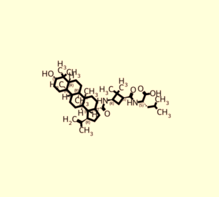 C=C(C)[C@@H]1CC[C@]2(C(=O)N[C@@H]3C[C@H](C(=O)N[C@@H](CC(C)C)C(=O)O)C3(C)C)CC[C@]3(C)[C@H](CC[C@@H]4[C@@]5(C)CC[C@H](O)C(C)(C)[C@@H]5CC[C@]43C)[C@@H]12